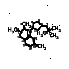 C=C(NC1CCC(CC(C)(C)C)C1)N(C)Cc1ccc(C)cc1